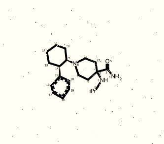 CC(C)NC1(C(N)=O)CCN([C@@H]2CCCC[C@@H]2c2ccccc2)CC1